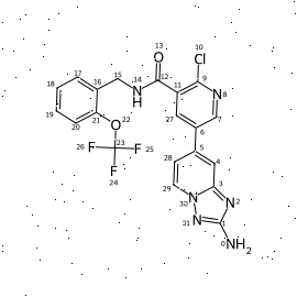 Nc1nc2cc(-c3cnc(Cl)c(C(=O)NCc4ccccc4OC(F)(F)F)c3)ccn2n1